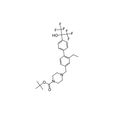 CCc1cc(CN2CCN(C(=O)OC(C)(C)C)CC2)ccc1-c1ccc(C(O)(C(F)(F)F)C(F)(F)F)cc1